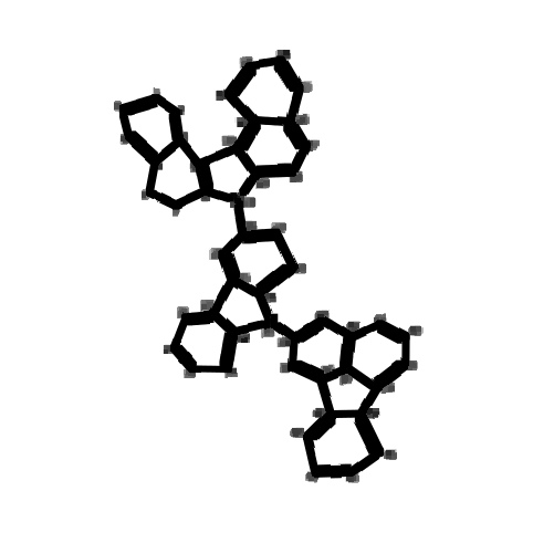 c1ccc2c(c1)CCc1c-2c2c3ccccc3ccc2n1-c1ccc2c(c1)c1ccccc1n2-c1cc2c3c(cccc3c1)-c1ccccc1-2